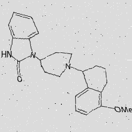 COc1cccc2c1CCCC2N1CCC(n2c(=O)[nH]c3ccccc32)CC1